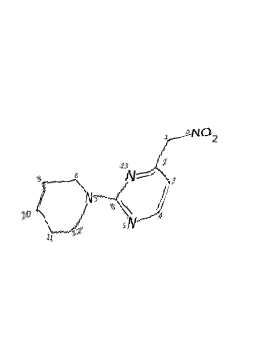 O=[N+]([O-])Cc1ccnc(N2CCCCC2)n1